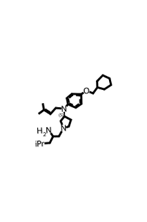 CC(C)=CCN(c1ccc(OCC2CCCCC2)cc1)[C@H]1CCN(CC(N)CC(C)C)C1